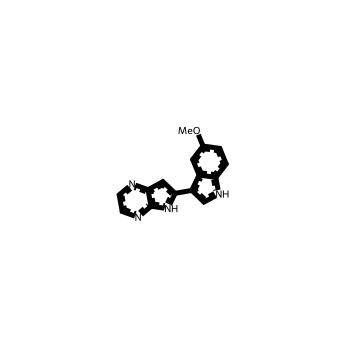 COc1ccc2[nH]cc(-c3cc4nccnc4[nH]3)c2c1